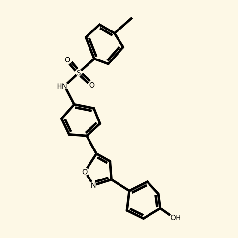 Cc1ccc(S(=O)(=O)Nc2ccc(-c3cc(-c4ccc(O)cc4)no3)cc2)cc1